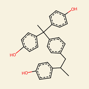 CC(Cc1ccc(C(C)(c2ccc(O)cc2)c2ccc(O)cc2)cc1)c1ccc(O)cc1